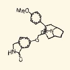 CCCN1C2CCC1CC(c1ccc(OC)cc1)=C(COc1ccc3c(c1)C(=O)NC3)C2